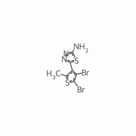 Cc1sc(Br)c(Br)c1-c1nnc(N)s1